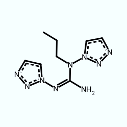 CCCN(C(N)=Nn1ccnn1)n1ccnn1